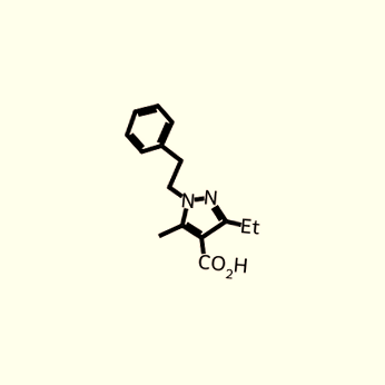 CCc1nn(CCc2ccccc2)c(C)c1C(=O)O